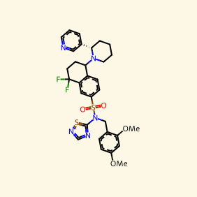 COc1ccc(CN(c2ncns2)S(=O)(=O)c2ccc3c(c2)C(F)(F)CCC3N2CCCC[C@H]2c2cccnc2)c(OC)c1